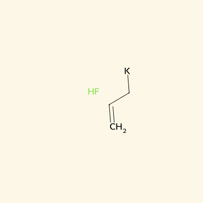 C=C[CH2][K].F